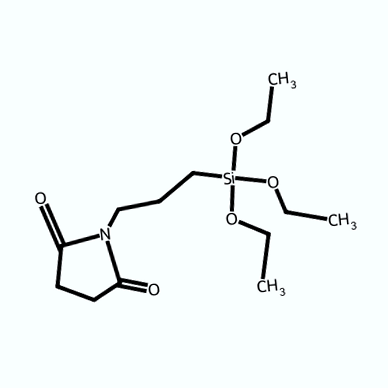 CCO[Si](CCCN1C(=O)CCC1=O)(OCC)OCC